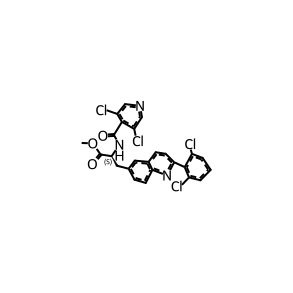 COC(=O)[C@H](Cc1ccc2nc(-c3c(Cl)cccc3Cl)ccc2c1)NC(=O)c1c(Cl)cncc1Cl